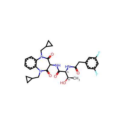 C[C@@H](O)[C@H](NC(=O)Cc1cc(F)cc(F)c1)C(=O)NC1C(=O)N(CC2CC2)c2ccccc2N(CC2CC2)C1=O